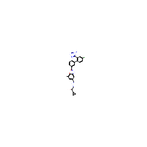 Cn1cnnc1-c1cc(F)ccc1-c1cccc(-c2nc3cc(CNC[C@H](O)C4CC4)cc(C(F)(F)F)c3o2)c1